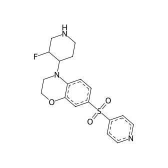 O=S(=O)(c1ccncc1)c1ccc2c(c1)OCCN2C1CCNCC1F